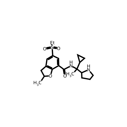 CCS(=O)(=O)c1cc2c(c(C(=O)NC(C)(C3CC3)C3CCCN3)c1)OC(C)C2